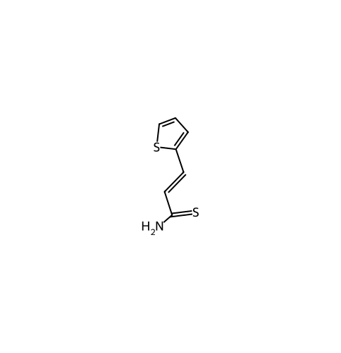 NC(=S)C=Cc1cccs1